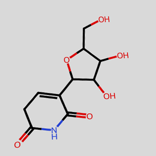 O=C1CC=C(C2OC(CO)C(O)C2O)C(=O)N1